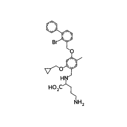 Cc1cc(CNC(CCCN)C(=O)O)c(OCC2CC2)cc1OCc1cccc(-c2ccccc2)c1Br